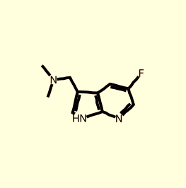 CN(C)Cc1c[nH]c2ncc(F)cc12